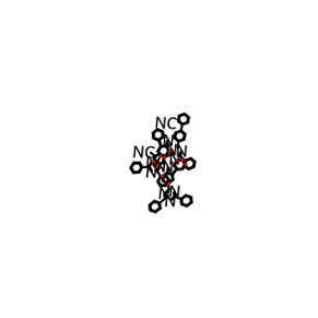 N#Cc1ccc(-n2c3ccccc3c3cc(-c4nc(-c5ccccc5)nc(-c5ccccc5)n4)ccc32)c(-c2nc(-c3ccccc3)nc(-c3ccc(-c4ccccc4C#N)cc3-n3c4ccccc4c4cc(-c5nc(-c6ccccc6)nc(-c6ccccc6)n5)ccc43)n2)c1